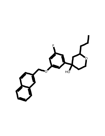 CCCC1CC(O)(c2cc(F)cc(OCc3ccc4ccccc4c3)c2)CCO1